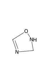 C1=NCNO1